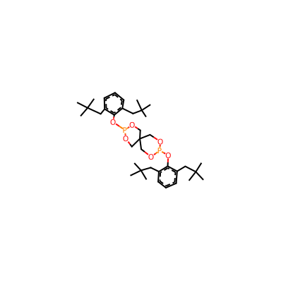 CC(C)(C)Cc1cccc(CC(C)(C)C)c1OP1OCC2(CO1)COP(Oc1c(CC(C)(C)C)cccc1CC(C)(C)C)OC2